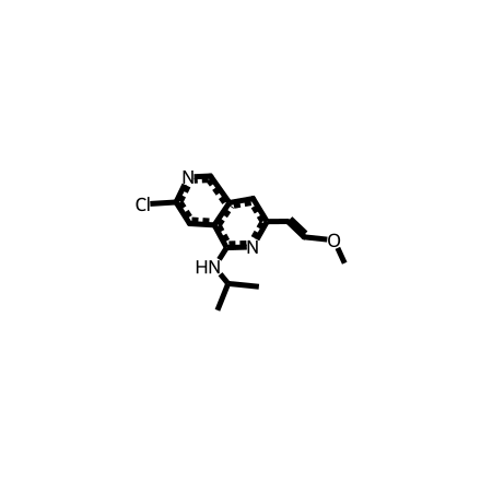 COC=Cc1cc2cnc(Cl)cc2c(NC(C)C)n1